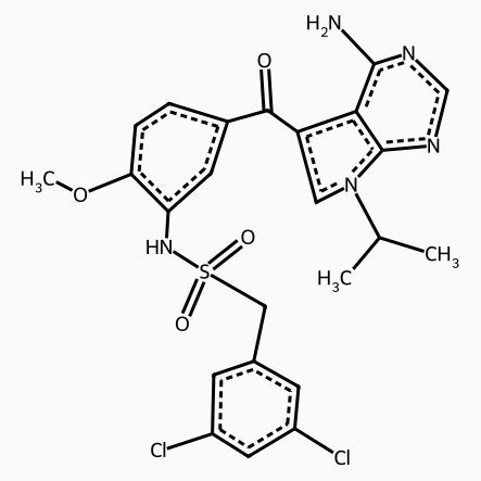 COc1ccc(C(=O)c2cn(C(C)C)c3ncnc(N)c23)cc1NS(=O)(=O)Cc1cc(Cl)cc(Cl)c1